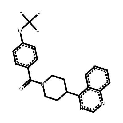 O=C(c1ccc(OC(F)(F)F)cc1)N1CCC(c2ncnc3ccccc23)CC1